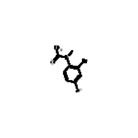 CC(=O)c1ccc(N(C)C(=O)C(F)(F)F)c(Br)c1